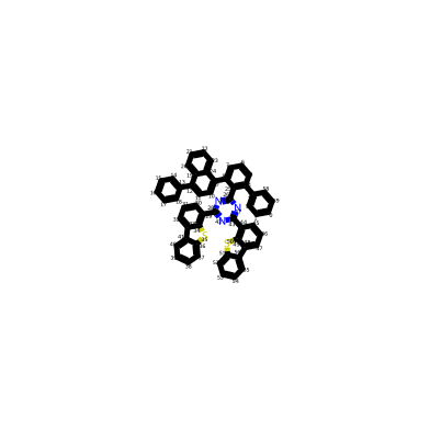 c1ccc(-c2cccc(-c3ccc(-c4ccccc4)c4ccccc34)c2-c2nc(-c3cccc4c3sc3ccccc34)nc(-c3cccc4c3sc3ccccc34)n2)cc1